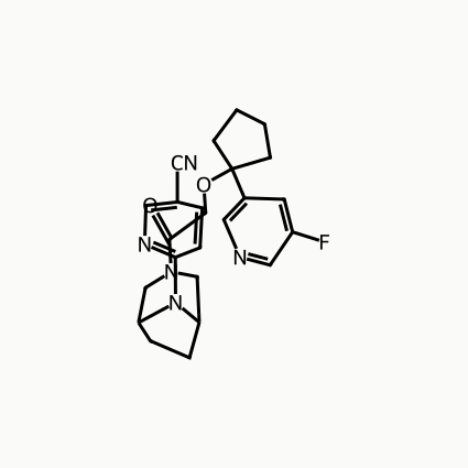 N#Cc1ccc(N2C3CCC2CN(C(=O)COC2(c4cncc(F)c4)CCCC2)C3)nc1